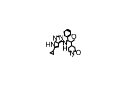 CN1CCC(C2COc3c#cccc3C2Nc2ncnc3[nH]c(C4CC4)cc23)CC1=O